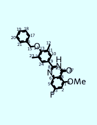 COc1cc(F)cc2nc(-c3cc(C)c(OCc4ccccc4)c(C)c3)[nH]c(=O)c12